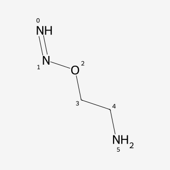 N=NOCCN